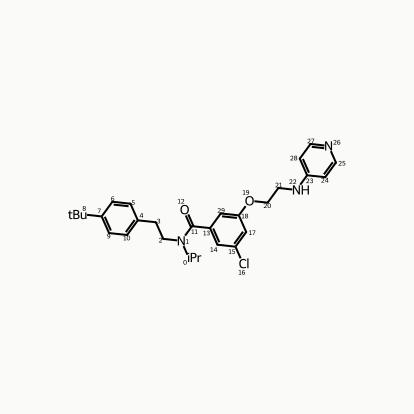 CC(C)N(CCc1ccc(C(C)(C)C)cc1)C(=O)c1cc(Cl)cc(OCCNc2ccncc2)c1